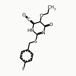 CCOC1C(=O)N=C(SCc2ccc(F)cc2)NC1=C=O